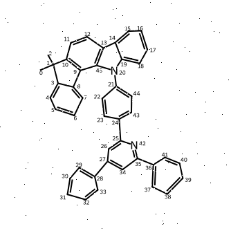 CC1(C)c2ccccc2-c2c1ccc1c3ccccc3n(-c3ccc(-c4cc(-c5ccccc5)cc(-c5ccccc5)n4)cc3)c21